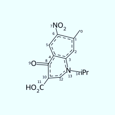 Cc1cc2c(cc1[N+](=O)[O-])c(=O)c(C(=O)O)cn2C(C)C